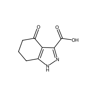 O=C(O)c1n[nH]c2c1C(=O)CCC2